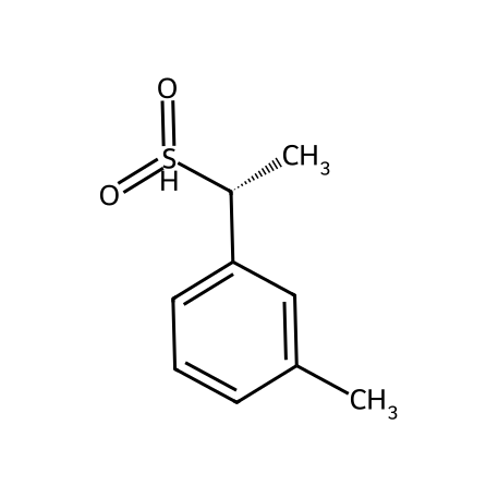 Cc1cccc([C@@H](C)[SH](=O)=O)c1